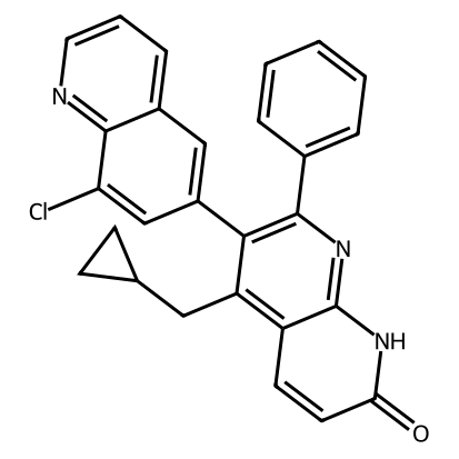 O=c1ccc2c(CC3CC3)c(-c3cc(Cl)c4ncccc4c3)c(-c3ccccc3)nc2[nH]1